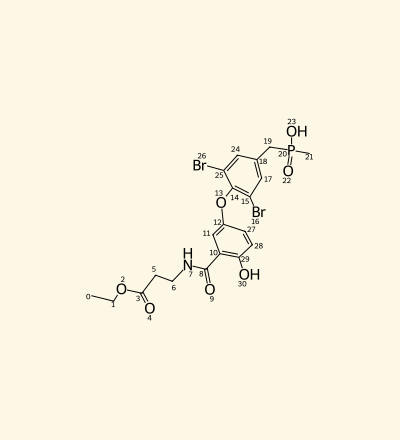 CCOC(=O)CCNC(=O)c1cc(Oc2c(Br)cc(CP(C)(=O)O)cc2Br)ccc1O